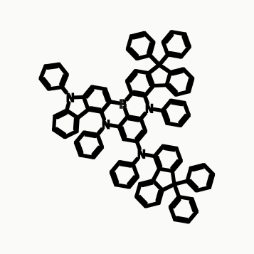 c1ccc(N(c2cc3c4c(c2)N(c2ccccc2)c2c(ccc5c2c2ccccc2n5-c2ccccc2)B4c2ccc4c(c2N3c2ccccc2)-c2ccccc2C4(c2ccccc2)c2ccccc2)c2cccc3c2-c2ccccc2C3(c2ccccc2)c2ccccc2)cc1